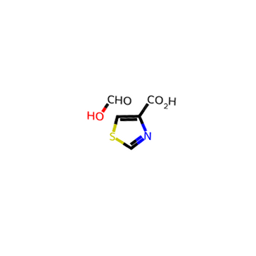 O=C(O)c1cscn1.O=CO